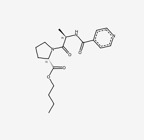 CCCCOC(=O)[C@@H]1CCCN1C(=O)[C@@H](C)NC(=O)c1ccncc1